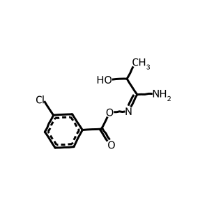 CC(O)/C(N)=N\OC(=O)c1cccc(Cl)c1